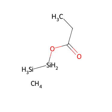 C.CCC(=O)O[SiH2][SiH3]